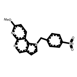 COc1ccc2c(ncc3ccn(Cc4ccc([SH](=O)=O)cc4)c32)n1